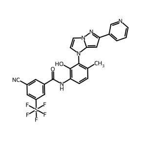 Cc1ccc(NC(=O)c2cc(C#N)cc(S(F)(F)(F)(F)F)c2)c(O)c1-n1ccn2nc(-c3cccnc3)cc12